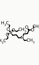 CCO[Si](CCCN(CC)CCC(=O)OC)(OCC)OCC